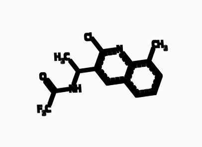 Cc1cccc2cc(C(C)NC(=O)C(F)(F)F)c(Cl)nc12